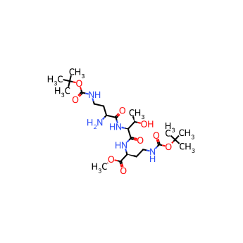 COC(=O)[C@H](CCNC(=O)OC(C)(C)C)NC(=O)[C@@H](NC(=O)C(N)CCNC(=O)OC(C)(C)C)[C@@H](C)O